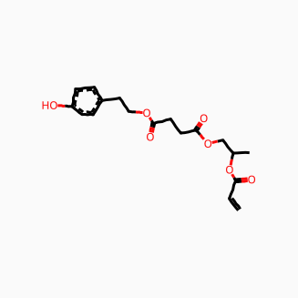 C=CC(=O)OC(C)COC(=O)CCC(=O)OCCc1ccc(O)cc1